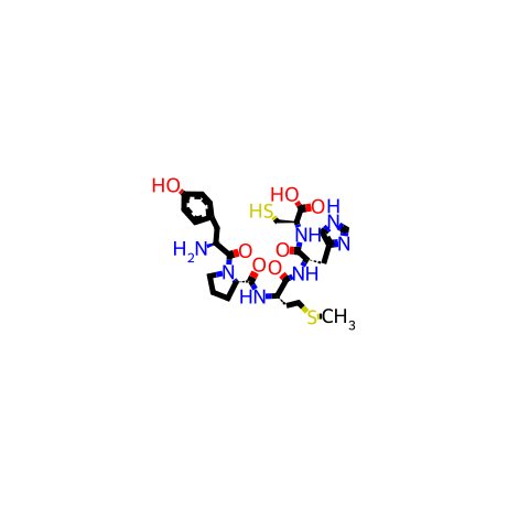 CSCC[C@H](NC(=O)[C@@H]1CCCN1C(=O)[C@@H](N)Cc1ccc(O)cc1)C(=O)N[C@@H](Cc1c[nH]cn1)C(=O)N[C@@H](CS)C(=O)O